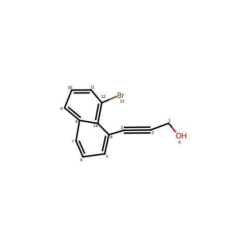 OCC#Cc1cccc2cccc(Br)c12